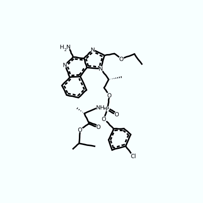 CCOCc1nc2c(N)nc3ccccc3c2n1[C@H](C)CO[P@@](=O)(N[C@@H](C)C(=O)OC(C)C)Oc1ccc(Cl)cc1